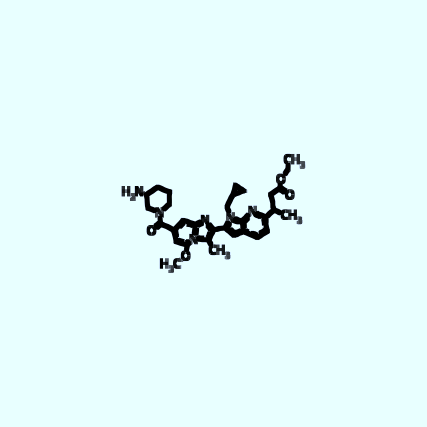 CCOC(=O)CC(C)c1ccc2cc(-c3nc4cc(C(=O)N5CCC[C@@H](N)C5)cc(OC)n4c3C)n(CC3CC3)c2n1